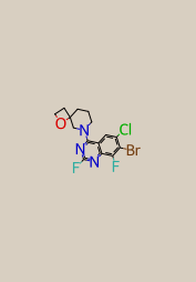 Fc1nc(N2CCCC3(CCO3)C2)c2cc(Cl)c(Br)c(F)c2n1